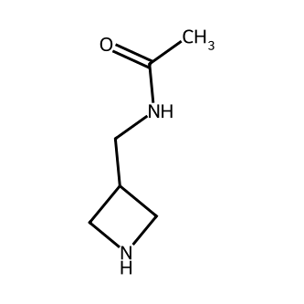 CC(=O)NCC1CNC1